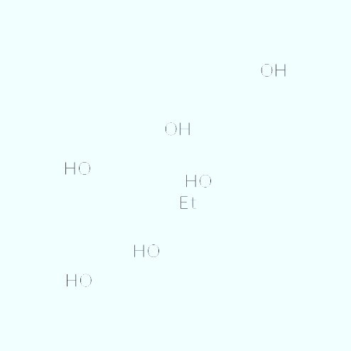 CCO.OCC(O)CO.OCCO